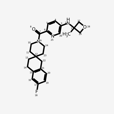 CC1(Nc2ccc(C(=O)N3CCC4(CCc5cc(F)ccc5C4)CC3)nc2)COC1